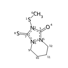 CSn1c(=O)n2n(c1=S)CCCC2